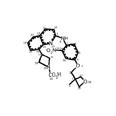 CC1(COc2ccc(Nc3ccc4cccc(C5CN(C(=O)O)C5)c4n3)c([N+](=O)[O-])c2)COC1